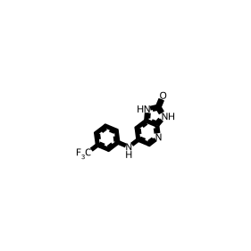 O=c1[nH]c2cc(Nc3cccc(C(F)(F)F)c3)cnc2[nH]1